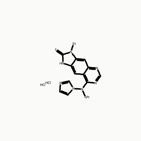 CCCN(c1ncnc2cc3c(cc12)[nH]c(=S)n3CC)n1ccnc1.Cl.Cl